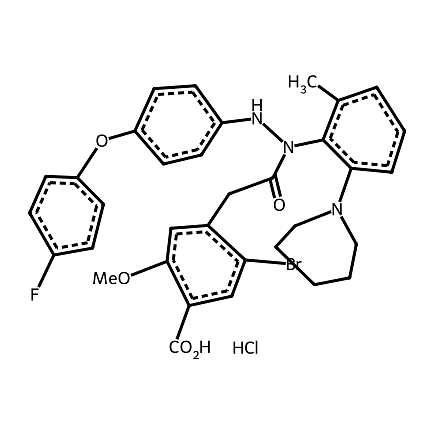 COc1cc(CC(=O)N(Nc2ccc(Oc3ccc(F)cc3)cc2)c2c(C)cccc2N2CCCCC2)c(Br)cc1C(=O)O.Cl